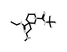 CCOC(=O)C1(CCNC)CCCN(C(=O)OC(C)(C)C)C1